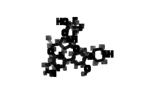 COc1cc(-c2cn3nccc3c(O[C@H](C)C3CNC(=O)C3)n2)ccc1N1CCNCC1.O=C(O)C(F)(F)F